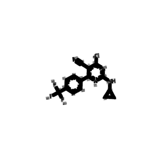 N#Cc1c(Cl)nc(NC2CC2)nc1-c1ccc(C(F)(F)F)cc1